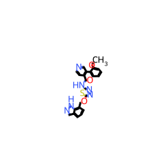 COc1ccccc1-c1cnccc1C(=O)Nc1nnc(OCc2cccc3cn[nH]c23)s1